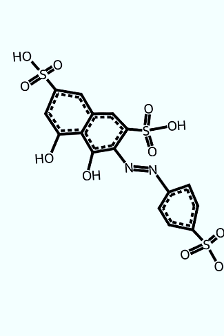 O=S(=O)(O)c1ccc(/N=N/c2c(S(=O)(=O)O)cc3cc(S(=O)(=O)O)cc(O)c3c2O)cc1